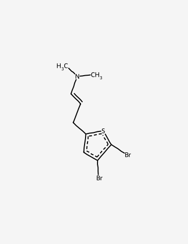 CN(C)C=CCc1cc(Br)c(Br)s1